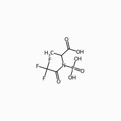 CC(C(=O)O)N(C(=O)C(F)(F)F)P(=O)(O)O